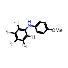 [2H]c1c([2H])c([2H])c(Nc2ccc(OC)cc2)c([2H])c1[2H]